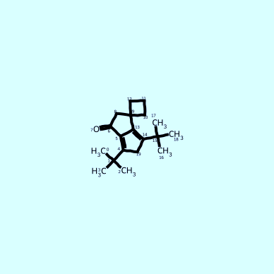 CC(C)(C)C1=C2C(=O)CC3(CCC3)C2=C(C(C)(C)C)C1